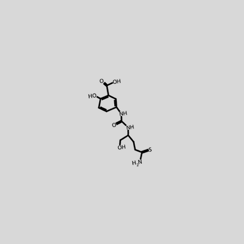 NC(=S)CCC(CO)NC(=O)Nc1ccc(O)c(C(=O)O)c1